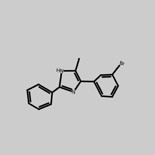 Cc1[nH]c(-c2ccccc2)nc1-c1cccc(Br)c1